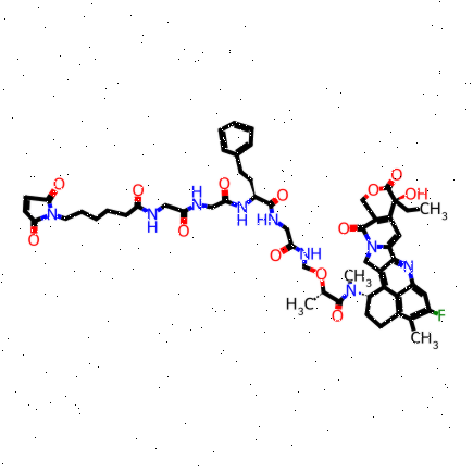 CC[C@@]1(O)C(=O)OCc2c1cc1n(c2=O)Cc2c-1nc1cc(F)c(C)c3c1c2[C@@H](N(C)C(=O)[C@H](C)OCNC(=O)CNC(=O)[C@H](CCc1ccccc1)NC(=O)CNC(=O)CNC(=O)CCCCCN1C(=O)C=CC1=O)CC3